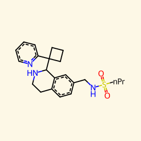 CCCS(=O)(=O)NCc1ccc2c(c1)C(C1(c3ccccn3)CCC1)NCC2